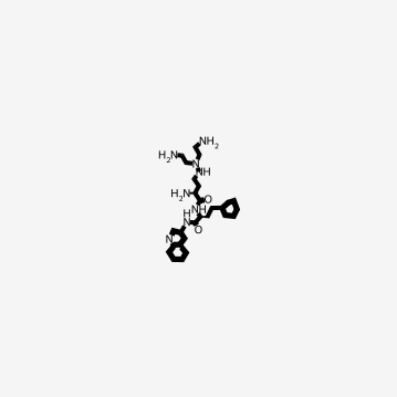 NCCN(CCN)NCC[C@H](N)C(=O)N[C@@H](CCc1ccccc1)C(=O)Nc1cnc2ccccc2c1